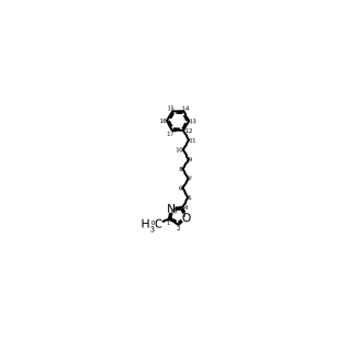 Cc1coc(CCCCCCCc2ccccc2)n1